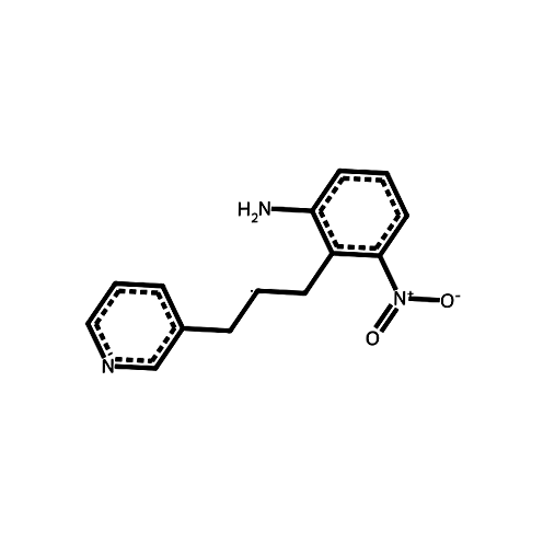 Nc1cccc([N+](=O)[O-])c1C[CH]Cc1cccnc1